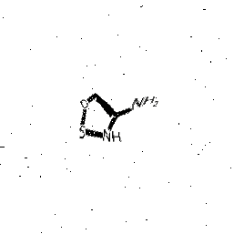 NC1=COSN1